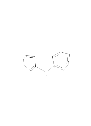 c1ccc(Sc2csnn2)cc1